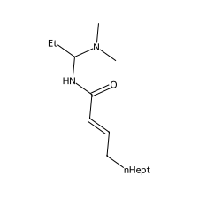 CCCCCCCCC=CC(=O)NC(CC)N(C)C